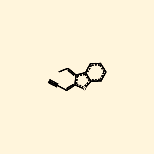 C#C/C=c1/oc2ccccc2/c1=C/C